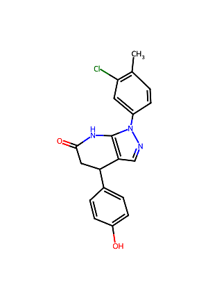 Cc1ccc(-n2ncc3c2NC(=O)CC3c2ccc(O)cc2)cc1Cl